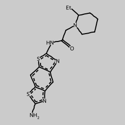 CCC1CCCCN1CC(=O)Nc1nc2cc3nc(N)sc3cc2s1